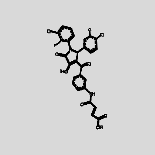 O=C(O)/C=C/C(=O)Nc1cccc(C(=O)C2=C(O)C(=O)N(c3cccc(Cl)c3F)C2c2ccc(Cl)c(Cl)c2)c1